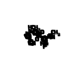 Cc1cn(-c2cc(N3C(=O)c4cc(C)c(Nc5nccc(-c6cccnc6)n5)cc4C3=O)cc(C(F)(F)F)c2)cn1